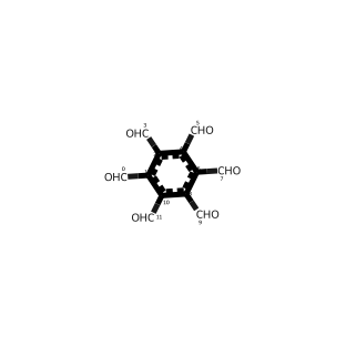 O=Cc1c(C=O)c(C=O)c(C=O)c(C=O)c1C=O